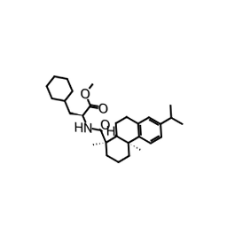 COC(=O)[C@H](CC1CCCCC1)NC(=O)[C@]1(C)CCC[C@]2(C)c3ccc(C(C)C)cc3CC[C@@H]12